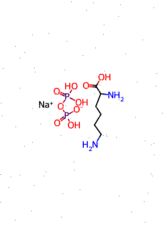 NCCCCC(N)C(=O)O.O=P([O-])(O)OP(=O)(O)O.[Na+]